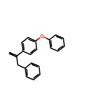 C=C(Cc1ccccc1)c1ccc(Oc2ccccc2)cc1